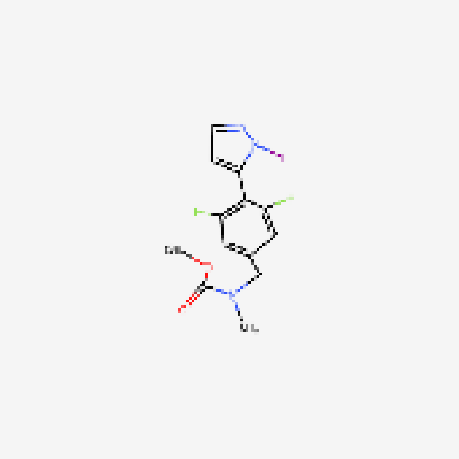 CN(Cc1cc(F)c(-c2ccnn2I)c(F)c1)C(=O)OC(C)(C)C